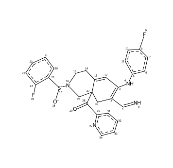 N=CC1=C(Nc2ccc(F)cc2)C=C2CCN([S+]([O-])c3ccccc3F)CC2(C(=O)c2ccccn2)C1